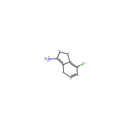 NC1=C2CC=CC(F)=C2CC1